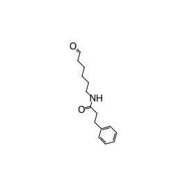 O=CCCCCCNC(=O)CCc1ccccc1